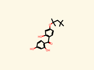 CC(C)(C)CC(C)(C)Oc1ccc(C(=O)c2ccc(O)cc2O)c(O)c1